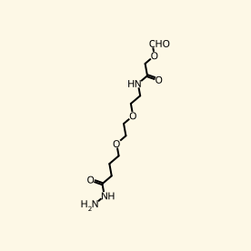 NNC(=O)CCCOCCOCCNC(=O)COC=O